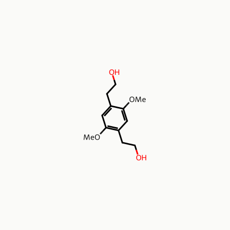 COc1cc(CCO)c(OC)cc1CCO